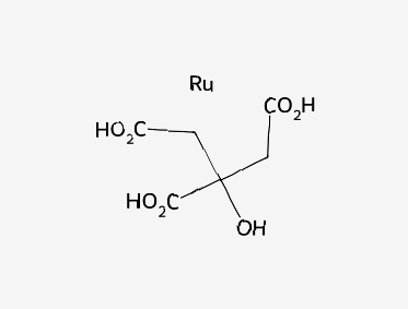 O=C(O)CC(O)(CC(=O)O)C(=O)O.[Ru]